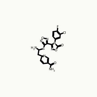 NC(=O)c1ccc(CC(N)Sc2nonc2-c2noc(=O)n2-c2ccc(F)c(Cl)c2)nc1